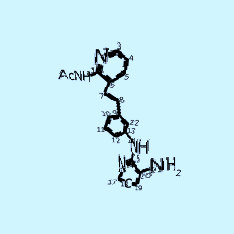 CC(=O)Nc1ncccc1/C=C/c1cccc(Nc2ncccc2N)c1